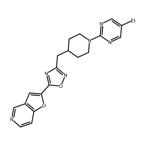 CCc1cnc(N2CCC(Cc3noc(-c4cc5cnccc5o4)n3)CC2)nc1